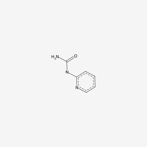 NC(=O)[N]c1ccccn1